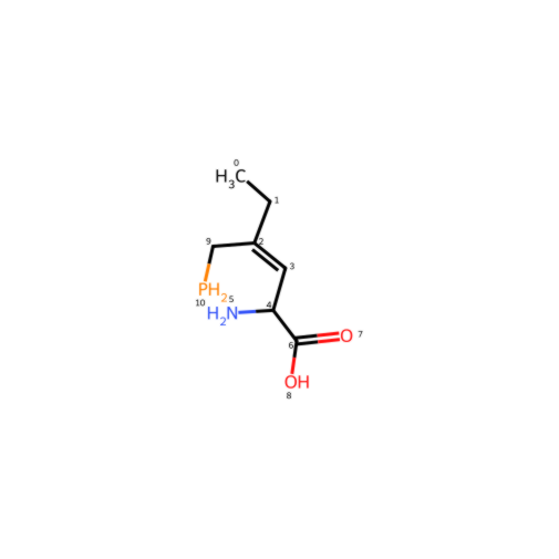 CCC(=CC(N)C(=O)O)CP